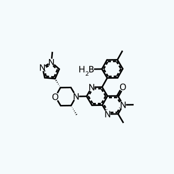 Bc1cc(C)ccc1-c1nc(N2C[C@@H](c3cnn(C)c3)OC[C@H]2C)cc2nc(C)n(C)c(=O)c12